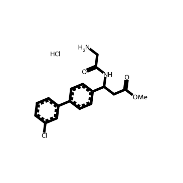 COC(=O)CC(NC(=O)CN)c1ccc(-c2cccc(Cl)c2)cc1.Cl